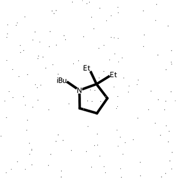 CCC(C)N1CCCC1(CC)CC